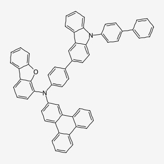 c1ccc(-c2ccc(-n3c4ccccc4c4cc(-c5ccc(N(c6ccc7c8ccccc8c8ccccc8c7c6)c6cccc7c6oc6ccccc67)cc5)ccc43)cc2)cc1